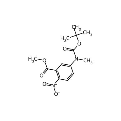 COC(=O)c1cc(N(C)C(=O)OC(C)(C)C)ccc1[N+](=O)[O-]